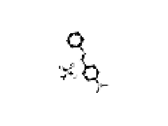 CN(C)c1ccc(N=Nc2ccccc2)cc1.O=S(=O)(Cl)Cl